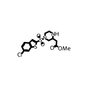 COC(=O)CC1CN(S(=O)(=O)c2cc3ccc(Cl)cc3s2)CCN1